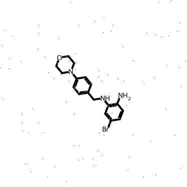 Nc1ccc(Br)cc1NCc1ccc(N2CCOCC2)cc1